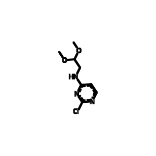 COC(CNc1ccnc(Cl)n1)OC